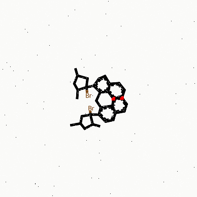 CC1CC(C)C(Br)(c2ccc3ccccc3c2Cc2c(C3(Br)CC(C)CC3C)ccc3ccccc23)C1